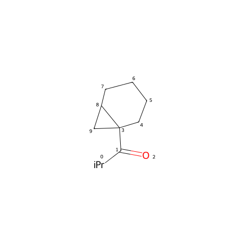 CC(C)C(=O)C12CCCCC1C2